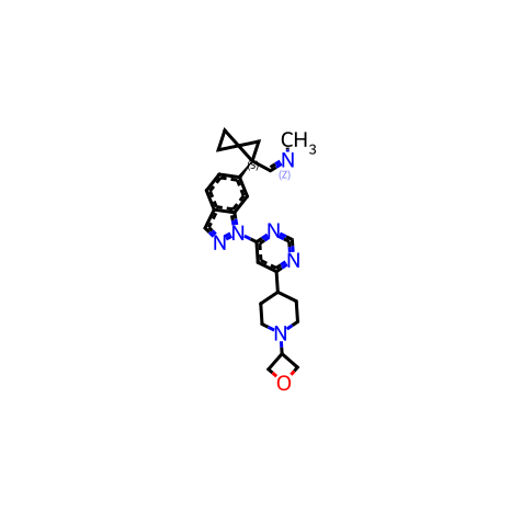 C/N=C\[C@@]1(c2ccc3cnn(-c4cc(C5CCN(C6COC6)CC5)ncn4)c3c2)CC12CC2